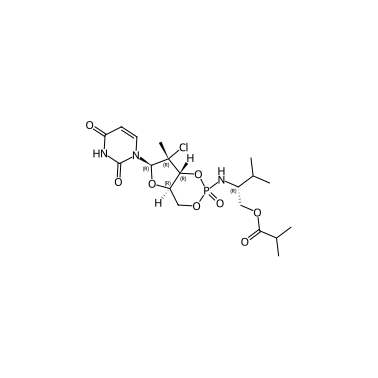 CC(C)C(=O)OC[C@H](NP1(=O)OC[C@H]2O[C@@H](n3ccc(=O)[nH]c3=O)[C@](C)(Cl)[C@@H]2O1)C(C)C